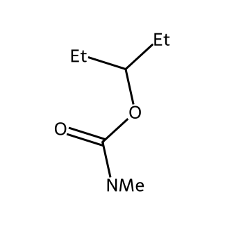 CCC(CC)OC(=O)NC